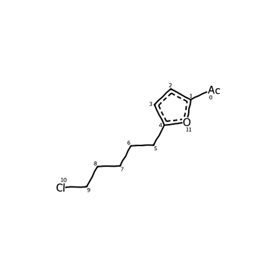 CC(=O)c1ccc(CCCCCCl)o1